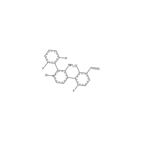 Nc1c(-c2c(F)ccc(C=O)c2Cl)cc[n+]([O-])c1-c1c(F)cccc1F